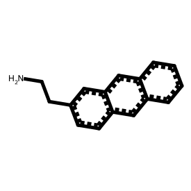 NCCc1ccc2cc3ccccc3cc2c1